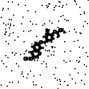 C[C@H](Oc1ccc(COc2ccc3c(c2)OCC(C=O)=C3)cc1Br)C(F)(F)F